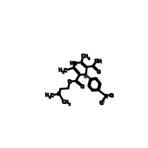 CC1=C(C(=O)O)[C@H](c2ccc([N+](=O)[O-])cc2)C(C(=O)OCCN(C)C)=C(C)N1